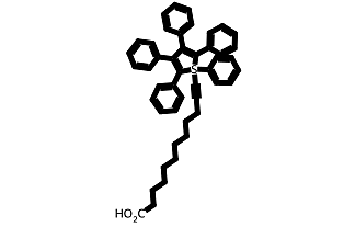 O=C(O)CCCCCCCCCC#CS1(c2ccccc2)C(c2ccccc2)=C(c2ccccc2)C(c2ccccc2)=C1c1ccccc1